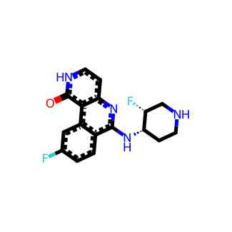 O=c1[nH]ccc2nc(N[C@H]3CCNC[C@H]3F)c3ccc(F)cc3c12